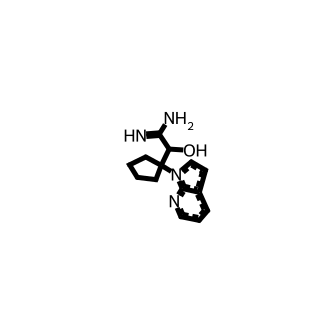 N=C(N)C(O)C1(n2ccc3cccnc32)CCCC1